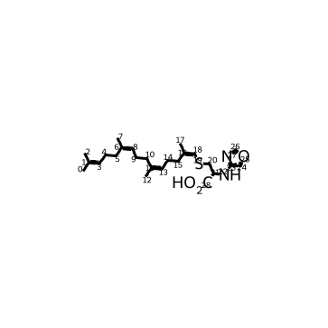 CC(C)=CCCC(C)=CCCC(C)=CCCC(C)=CSCC(Nc1cocn1)C(=O)O